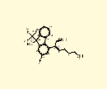 N=C/C(=C\CCCO)c1cc(F)cc2c1-c1ccccc1C2(O)C(F)(F)F